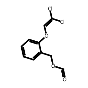 O=[C]OCc1ccccc1OC=C(Cl)Cl